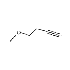 [C]#CCCOC